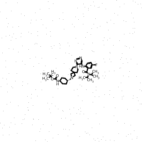 CC(C)N(C(=O)c1cc(F)ccc1Nc1cncnc1N1CCC2(CC1)CN(C[C@H]1CC[C@H](NC(=O)OC(C)(C)C)CC1)C2)C(C)C